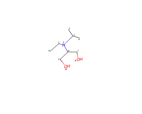 CCN(C(C)C)C(CO)CO